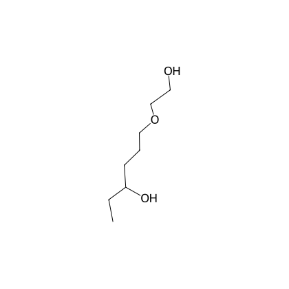 CCC(O)CCCOCCO